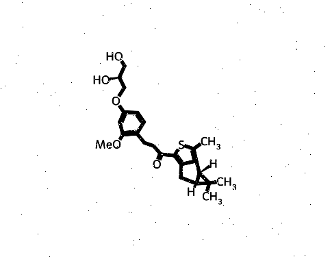 COc1cc(OC[C@@H](O)CO)ccc1CCC(=O)c1sc(C)c2c1C[C@@H]1[C@H]2C1(C)C